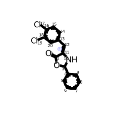 O=C1OC(c2ccccc2)N/C1=C/c1ccc(Cl)c(Cl)c1